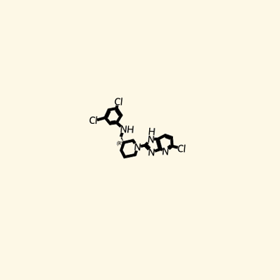 Clc1cc(Cl)cc(NC[C@H]2CCCN(c3nc4nc(Cl)ccc4[nH]3)C2)c1